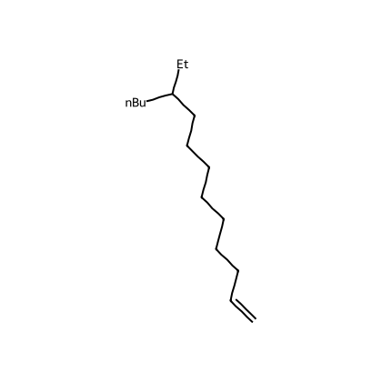 C=CCCCCCCCC(CC)CCCC